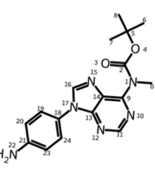 CN(C(=O)OC(C)(C)C)c1ncnc2c1ncn2-c1ccc(N)cc1